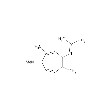 CNC1C=CC(C)=C(N=C(C)C)C=C1C